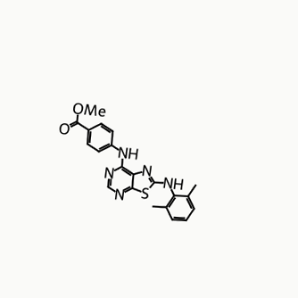 COC(=O)c1ccc(Nc2ncnc3sc(Nc4c(C)cccc4C)nc23)cc1